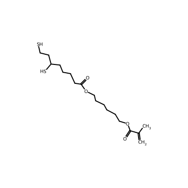 C=C(C)C(=O)OCCCCCCOC(=O)CCCCC(S)CCS